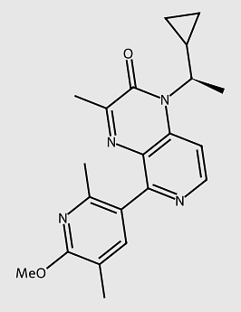 COc1nc(C)c(-c2nccc3c2nc(C)c(=O)n3[C@H](C)C2CC2)cc1C